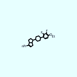 CCCC1=CCC2C1CCC2C1CCC(c2ccc(OCC)c(F)c2F)CC1